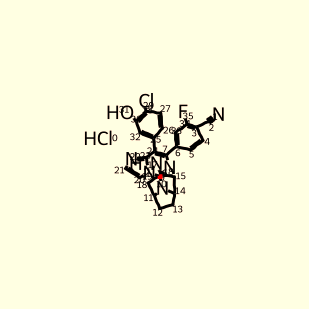 Cl.N#Cc1ccc(-c2nc(N3C4CCC3CC(N)C4)n3ccnc3c2-c2ccc(Cl)c(O)c2)cc1F